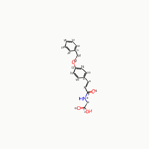 O=C(O)CNC(=O)C=Cc1ccc(OCc2ccccc2)cc1